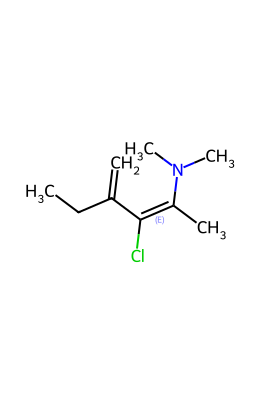 C=C(CC)/C(Cl)=C(/C)N(C)C